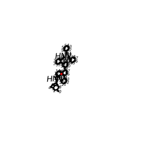 CC1CC2CC3C2C(C1)C3C1Nc2ccccc2N1c1ccccc1-c1ccc(-c2cccc(-c3ccccc3C3N=C(c4ccccc4)N=C(c4ccccc4)N3)c2)cc1